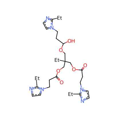 CCc1nccn1CCC(=O)OCC(CC)(COC(=O)CCn1ccnc1CC)COC(O)CCn1ccnc1CC